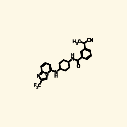 CC(C#N)c1cccc(C(=O)NC2CCC(Nc3cccc4nc(C(F)(F)F)cn34)CC2)c1